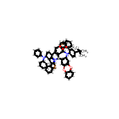 CC(C)(C)c1ccc(N2c3cc4c(cc3B3c5c(cc6sc7ccccc7c6c52)-c2ccc(N(c5ccccc5)c5ccccc5)c5c6c7ccccc7sc6n3c25)Oc2ccccc2O4)c(-c2ccccc2)c1